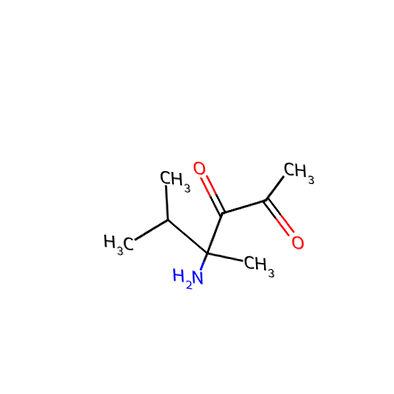 CC(=O)C(=O)C(C)(N)C(C)C